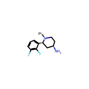 CC(C)N1CC[C@@H](N)C[C@H]1c1cccc(F)c1F